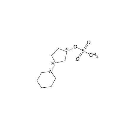 CS(=O)(=O)O[C@H]1CC[C@@H](N2CCCCC2)C1